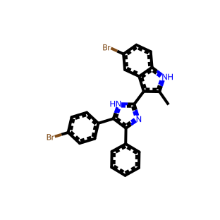 Cc1[nH]c2ccc(Br)cc2c1-c1nc(-c2ccccc2)c(-c2ccc(Br)cc2)[nH]1